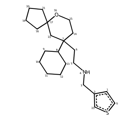 c1cc(CNCCC2(C3CCCCC3)CCOC3(CCCC3)C2)cs1